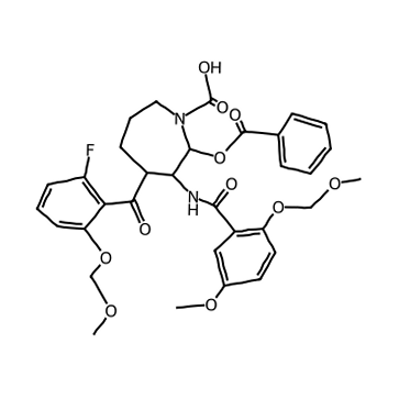 COCOc1ccc(OC)cc1C(=O)NC1C(C(=O)c2c(F)cccc2OCOC)CCCN(C(=O)O)C1OC(=O)c1ccccc1